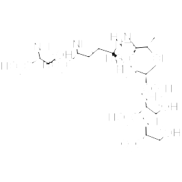 C[C@@H](O)[C@H](N)C(=O)O.C[C@H](N)C(=O)O.NC(=O)CC[C@H](N)C(=O)O.N[C@@H](CO)C(=O)O.N[C@@H](CO)C(=O)O.N[C@@H](CO)C(=O)O